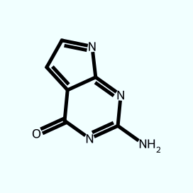 NC1=NC(=O)C2=CC=NC2=N1